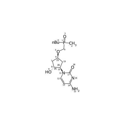 CCCCP(C)(=O)CO[C@@H]1C[C@@H](O)[C@H](n2ccc(N)nc2=O)C1